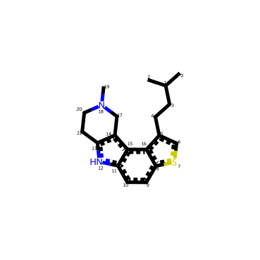 CC(C)CCc1csc2ccc3[nH]c4c(c3c12)CN(C)CC4